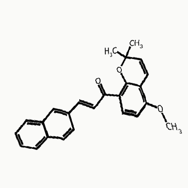 COc1ccc(C(=O)/C=C/c2ccc3ccccc3c2)c2c1C=CC(C)(C)O2